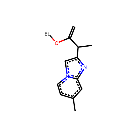 C=C(OCC)C(C)c1cn2ccc(C)cc2n1